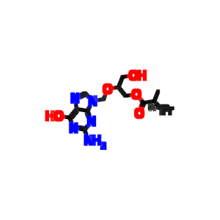 CC(C)[C@H](C)C(=O)OCC(CO)OCn1cnc2c(O)nc(N)nc21